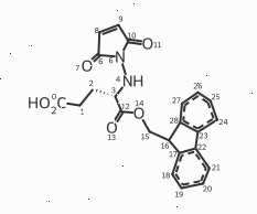 O=C(O)CC[C@H](NN1C(=O)C=CC1=O)C(=O)OCC1c2ccccc2-c2ccccc21